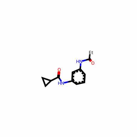 CCC(=O)Nc1cccc(NC(=O)C2CC2)c1